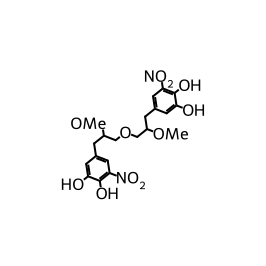 COC(COCC(Cc1cc(O)c(O)c([N+](=O)[O-])c1)OC)Cc1cc(O)c(O)c([N+](=O)[O-])c1